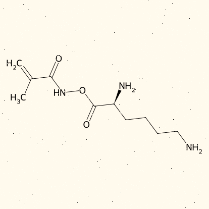 C=C(C)C(=O)NOC(=O)[C@@H](N)CCCCN